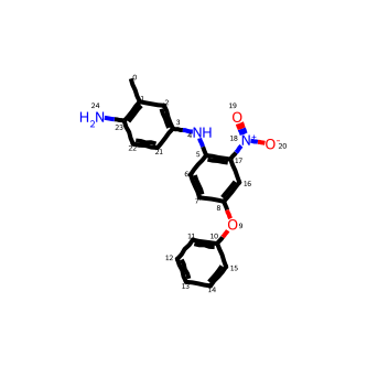 Cc1cc(Nc2ccc(Oc3ccccc3)cc2[N+](=O)[O-])ccc1N